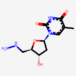 Cc1cn([C@H]2C[C@H](O)[C@@H](CNN)O2)c(=O)[nH]c1=O